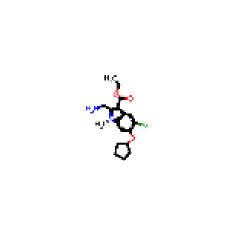 CCOC(=O)c1c(CN)n(C)c2cc(OC3CCCC3)c(Br)cc12